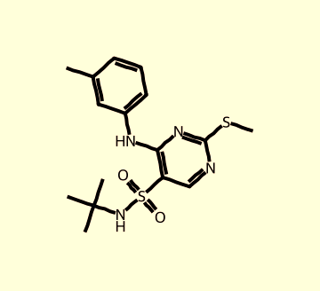 CSc1ncc(S(=O)(=O)NC(C)(C)C)c(Nc2cccc(C)c2)n1